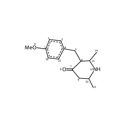 COc1ccc(CC2C(=O)CC(C)NC2C)cc1